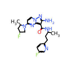 CC(CCc1ccc(F)cn1)NC(=O)c1c(N)nn2ccc(N3C[C@@H](F)C[C@H]3C)nc12